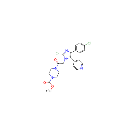 CC(C)(C)OC(=O)N1CCN(C(=O)Cn2c(Cl)nc(-c3ccc(Cl)cc3)c2-c2ccncc2)CC1